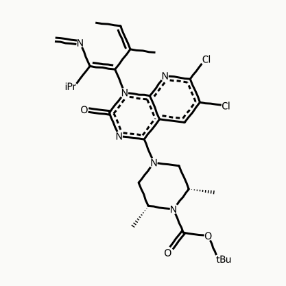 C=N/C(=C(\C(C)=C/C)n1c(=O)nc(N2C[C@@H](C)N(C(=O)OC(C)(C)C)[C@@H](C)C2)c2cc(Cl)c(Cl)nc21)C(C)C